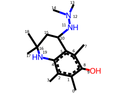 Cc1c(C)c2c(c(C)c1O)C(NN(C)C)CC(C)(C)N2